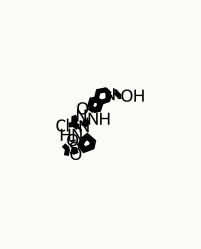 COc1cc2c(cc1Nc1ncc(Cl)c(Nc3ccccc3S(=O)(=O)C(C)C)n1)CN(CCO)CC2